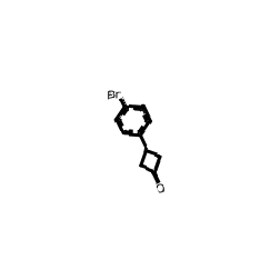 O=C1CC(c2ccc(Br)cc2)C1